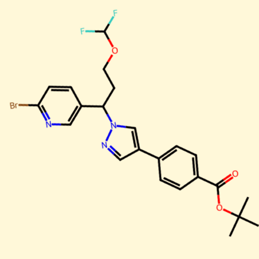 CC(C)(C)OC(=O)c1ccc(-c2cnn(C(CCOC(F)F)c3ccc(Br)nc3)c2)cc1